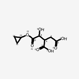 O=C(O)CC(C(=O)O)C(O)C(=O)OC1CC1